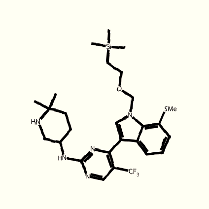 CSc1cccc2c(-c3nc(NC4CCC(C)(C)NC4)ncc3C(F)(F)F)cn(COCC[Si](C)(C)C)c12